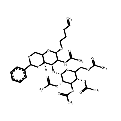 C=CCCCO[C@@H]1OC2COC(c3ccccc3)O[C@@H]2[C@H](O[C@@H]2OC(COC(C)=O)[C@H](OC(C)=O)C(OC(C)=O)[C@@H]2OC(C)=O)C1NC(C)=O